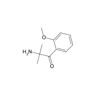 COc1ccccc1C(=O)C(C)(C)N